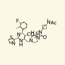 CC(=O)N(C)C12CC(N3C[C@@H]4CN(CC5=C(C(=O)O)[C@H](c6cccc(F)c6C)N=C(c6nccs6)N5)CCN4C3=O)(C1)C2